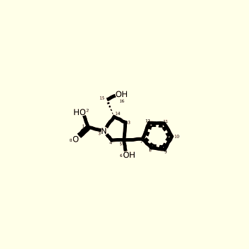 O=C(O)N1CC(O)(c2ccccc2)C[C@H]1CO